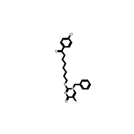 O=C(CCCCCCCSc1nc(=O)c(I)cn1Cc1ccccc1)c1ccc(Cl)cc1